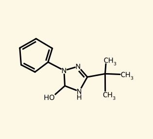 CC(C)(C)C1=NN(c2ccccc2)C(O)N1